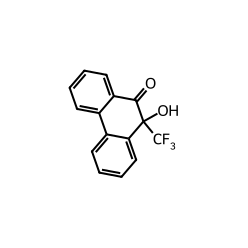 O=C1c2ccccc2-c2ccccc2C1(O)C(F)(F)F